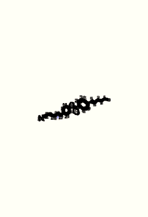 CCCCCC[C@H]1CC[C@H](C(=O)OC2CCC(/C=C/C=CC#N)CC2)CC1